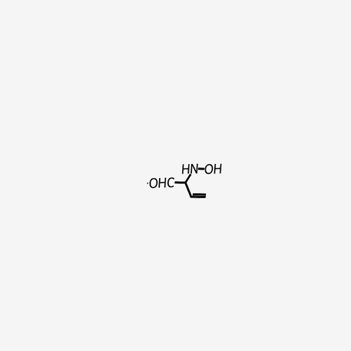 C=CC([C]=O)NO